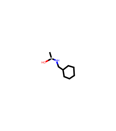 CB(O)NCC1CCCCC1